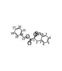 O=C(Cc1ccccc1Br)C(=O)OCc1ccccc1